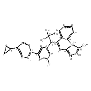 Fc1cc(-c2cnc(C3CC3)cn2)cc(N(c2nc3nnc(Cl)n3c3ccccc23)C(F)(F)F)c1